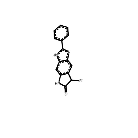 CC(C)C1C(=O)Nc2cc3[nH]c(-c4ccccc4)nc3cc21